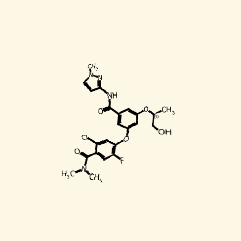 C[C@@H](CO)Oc1cc(Oc2cc(Cl)c(C(=O)N(C)C)cc2F)cc(C(=O)Nc2ccn(C)n2)c1